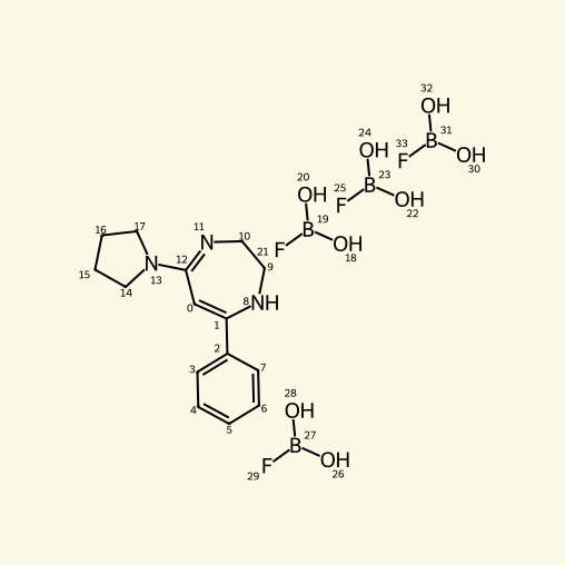 C1=C(c2ccccc2)NCCN=C1N1CCCC1.OB(O)F.OB(O)F.OB(O)F.OB(O)F